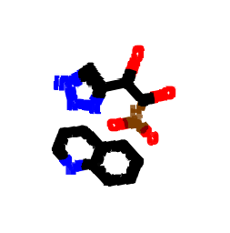 O=C(C(=O)[SH](=O)=O)c1c[nH]nn1.c1ccc2ncccc2c1